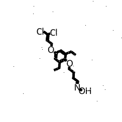 CCc1cc(OCC=C(Cl)Cl)cc(CC)c1OCCCC=NO